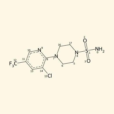 NS(=O)(=O)N1CCN(c2ncc(C(F)(F)F)cc2Cl)CC1